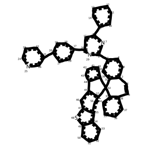 C1=Cc2ccc(-c3nc(-c4ccccc4)cc(-c4ccc(-c5cccnc5)cc4)n3)cc2C2(c3ccccc31)c1ccccc1-c1cc3sc4ccccc4c3cc12